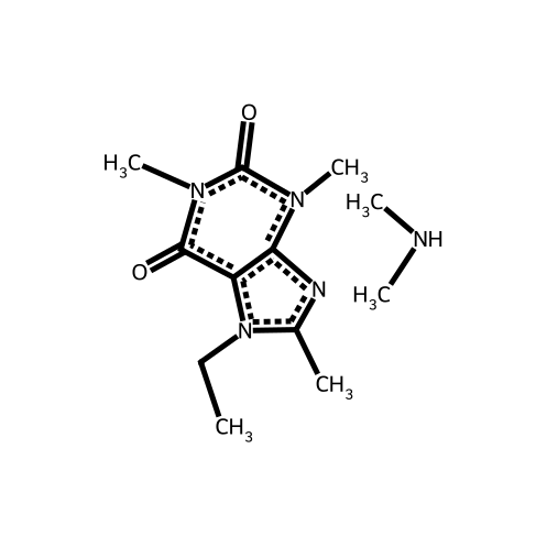 CCn1c(C)nc2c1c(=O)n(C)c(=O)n2C.CNC